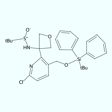 CC(C)(C)[S+]([O-])NC1(c2nc(Cl)ccc2CO[Si](c2ccccc2)(c2ccccc2)C(C)(C)C)COC1